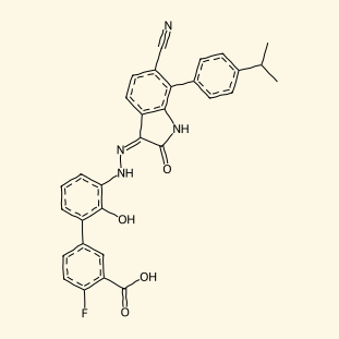 CC(C)c1ccc(-c2c(C#N)ccc3c2NC(=O)C3=NNc2cccc(-c3ccc(F)c(C(=O)O)c3)c2O)cc1